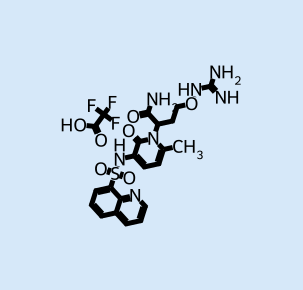 Cc1ccc(NS(=O)(=O)c2cccc3cccnc23)c(=O)n1C(CCONC(=N)N)C(N)=O.O=C(O)C(F)(F)F